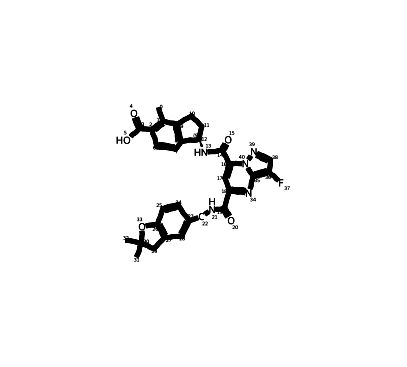 Cc1c(C(=O)O)ccc2c1CC[C@@H]2NC(=O)c1cc(C(=O)NCc2ccc3c(c2)CC(C)(C)O3)nc2c(F)cnn12